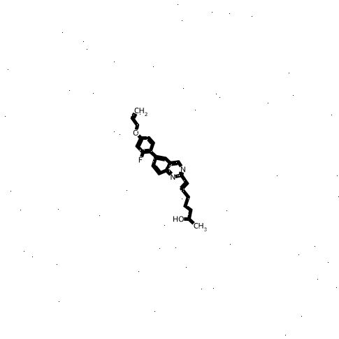 C=CCOc1ccc(-c2ccc3nc(C=CCCCC(C)O)ncc3c2)c(F)c1